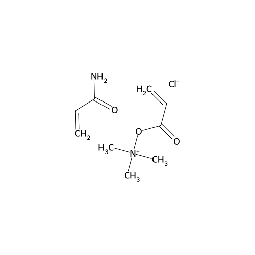 C=CC(=O)O[N+](C)(C)C.C=CC(N)=O.[Cl-]